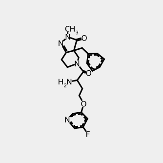 CN1N=C2CCN(C(=O)C(N)CCOc3cncc(F)c3)CC2(Cc2ccccc2)C1=O